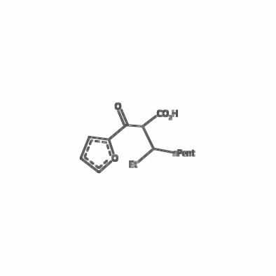 CCCCCC(CC)C(C(=O)O)C(=O)c1ccco1